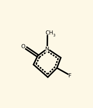 Cn1cc(F)ccc1=O